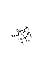 CC(C)(C)P(C(C)(C)C)C(C)(C)C.[Ni]